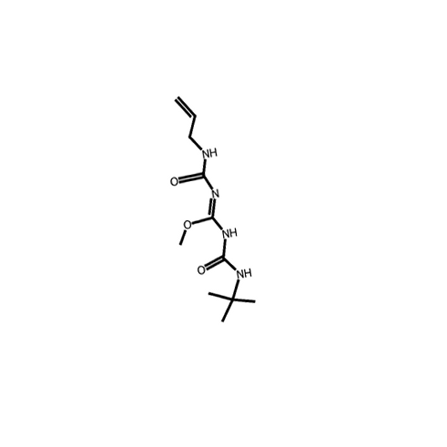 C=CCNC(=O)N=C(NC(=O)NC(C)(C)C)OC